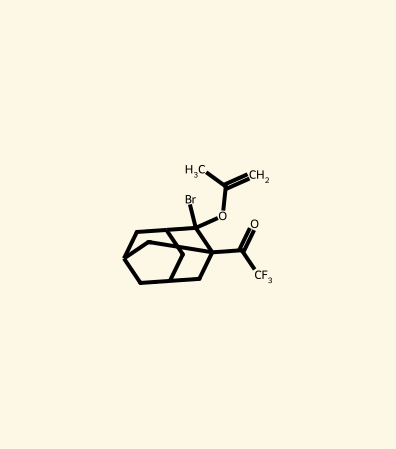 C=C(C)OC1(Br)C2CC3CC(C2)CC1(C(=O)C(F)(F)F)C3